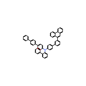 c1ccc(-c2ccc(-c3ccc(N(c4ccc(-c5cccc(-c6cc7ccccc7c7ccccc67)c5)cc4)c4ccccc4-c4ccccc4)cc3)cc2)cc1